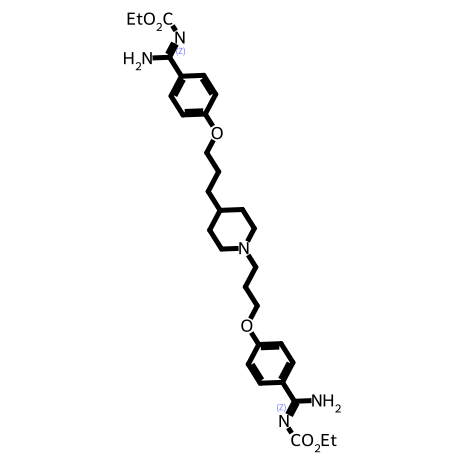 CCOC(=O)/N=C(\N)c1ccc(OCCCC2CCN(CCCOc3ccc(/C(N)=N/C(=O)OCC)cc3)CC2)cc1